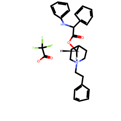 O=C(O[C@H]1C[N+]2(CCc3ccccc3)CCC1CC2)C(Nc1ccccc1)c1ccccc1.O=C([O-])C(F)(F)F